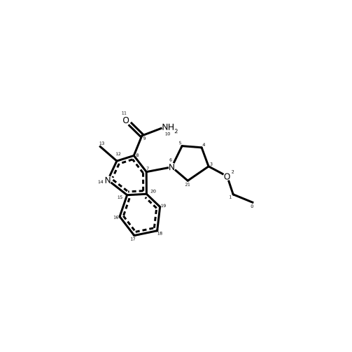 CCOC1CCN(c2c(C(N)=O)c(C)nc3c[c]ccc23)C1